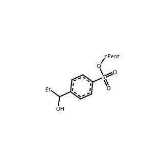 CCCCCOS(=O)(=O)c1ccc(C(O)CC)cc1